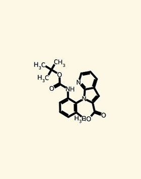 Cc1cccc(NC(=O)OC(C)(C)C)c1-n1c(C(=O)O)cc2cccnc21